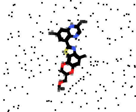 COc1cnc2c(-c3nc4c(C)cc5c(c4s3)OC[C@H](COC=O)O5)cc(C#N)cc2n1